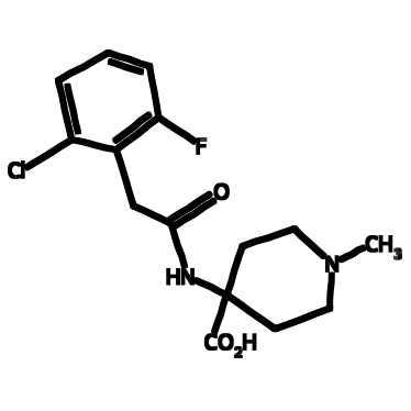 CN1CCC(NC(=O)Cc2c(F)cccc2Cl)(C(=O)O)CC1